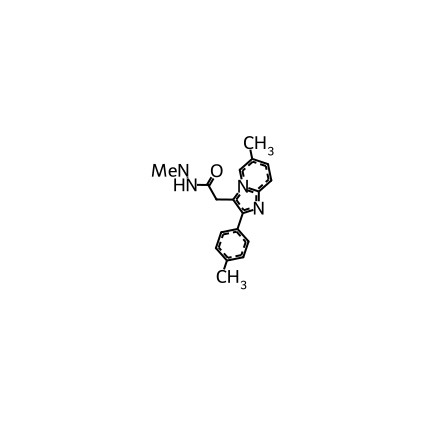 CNNC(=O)Cc1c(-c2ccc(C)cc2)nc2ccc(C)cn12